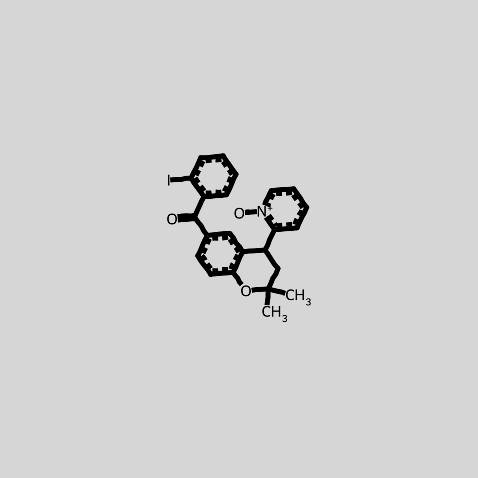 CC1(C)CC(c2cccc[n+]2[O-])c2cc(C(=O)c3ccccc3I)ccc2O1